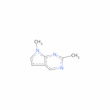 Cc1ncc2ccn(C)c2n1